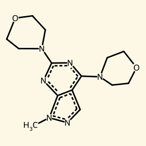 Cn1ncc2c(N3CCOCC3)nc(N3CCOCC3)nc21